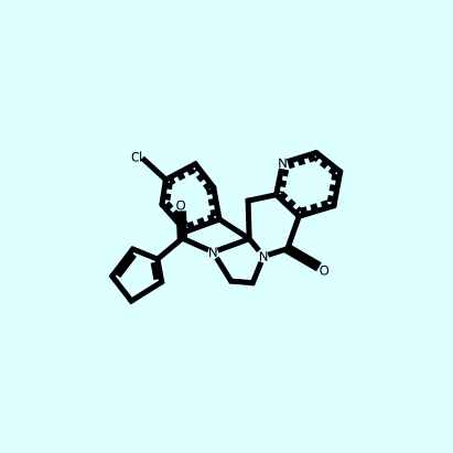 O=C(C1=CCC=C1)N1CCN2C(=O)c3cccnc3CC12c1ccc(Cl)cc1